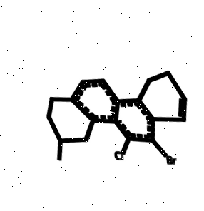 CC1CCc2ccc3c4c(c(Br)c(Cl)c3c2C1)C=CCC4